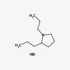 Br.CCCC1CCCN1CCC